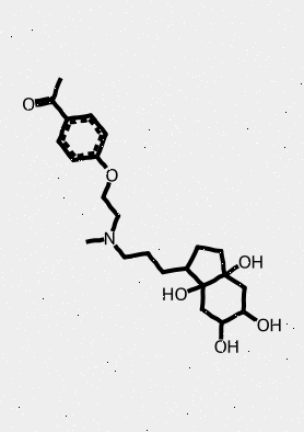 CC(=O)c1ccc(OCCN(C)CCCC2CCC3(O)CC(O)C(O)CC23O)cc1